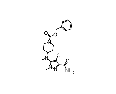 CN(c1c(Cl)c(C(N)=O)nn1C)C1CCN(C(=O)OCc2ccccc2)CC1